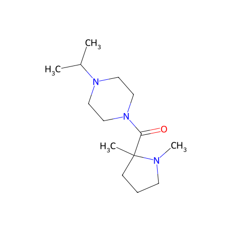 CC(C)N1CCN(C(=O)C2(C)CCCN2C)CC1